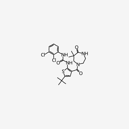 CC1(C)CN(C(=O)c2cc(C(C)(C)C)sc2NC(=O)Nc2cccc(Cl)c2Cl)CCNC1=O